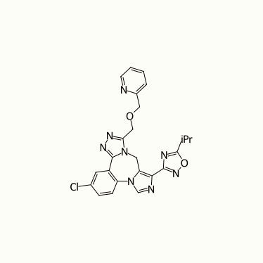 CC(C)c1nc(-c2ncn3c2Cn2c(COCc4ccccn4)nnc2-c2cc(Cl)ccc2-3)no1